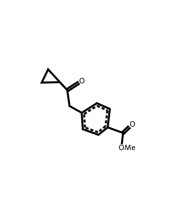 COC(=O)c1ccc(CC(=O)C2CC2)cc1